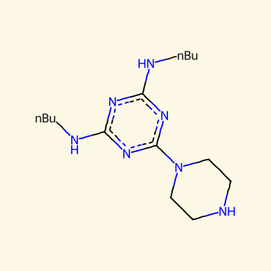 CCCCNc1nc(NCCCC)nc(N2CCNCC2)n1